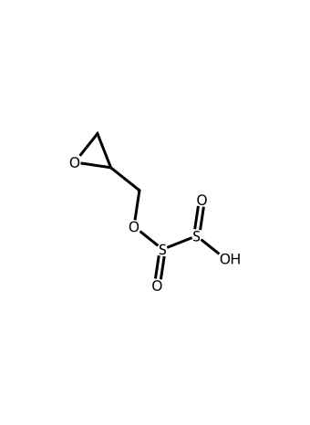 O=S(O)S(=O)OCC1CO1